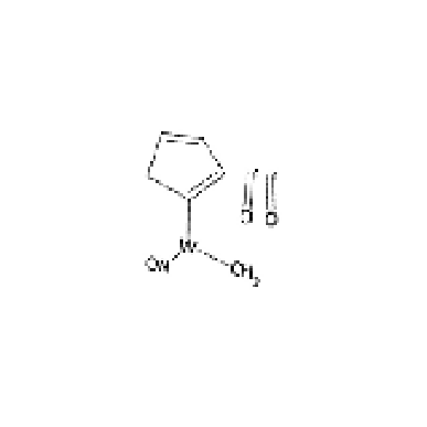 [CH3][W]([N]=O)[C]1=CC=CC1.[C]=O.[C]=O